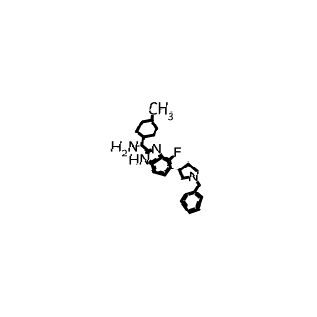 CC1CCC([C@H](N)c2nc3c(F)c([C@@H]4[CH]CN(Cc5ccccc5)C4)ccc3[nH]2)CC1